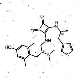 Cc1cc(O)cc(C)c1C[C@@H](CNc1c(N[C@@H](C)Cc2ccsc2)c(=O)c1=O)N(C)C